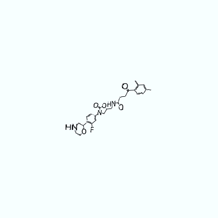 Cc1ccc(C(=O)CCC(=O)NCC2CN(c3ccc(C4CNCCO4)c(F)c3)C(=O)O2)c(C)c1